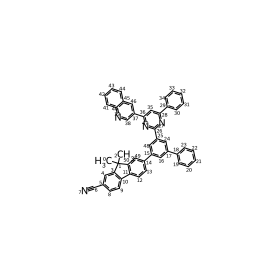 CC1(C)c2cc(C#N)ccc2-c2ccc(-c3cc(-c4ccccc4)cc(-c4nc(-c5ccccc5)cc(-c5cnc6ccccc6c5)n4)c3)cc21